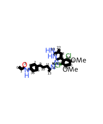 C=CC(=O)Nc1ccc(CCC/C(C)=N\C/N=C2\NC(=N)C(=C)C=C2c2c(Cl)c(OC)cc(OC)c2Cl)cc1